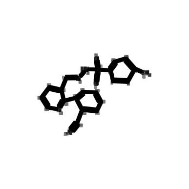 Cc1ccc(S(=O)(=O)NN=Cc2cccnc2-c2ccccc2C#N)cc1